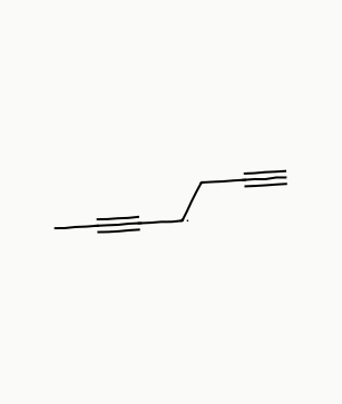 C#CC[CH]C#CC